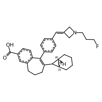 O=C(O)c1ccc2c(c1)CCCC(C1[C@H]3CCCC[C@@H]13)=C2c1ccc(C=C2CN(CCCF)C2)cc1